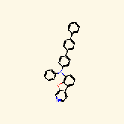 c1ccc(-c2ccc(-c3ccc(N(c4ccccc4)c4cccc5c4oc4cnccc45)cc3)cc2)cc1